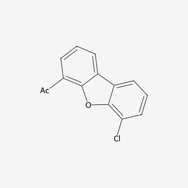 CC(=O)c1cccc2c1oc1c(Cl)cccc12